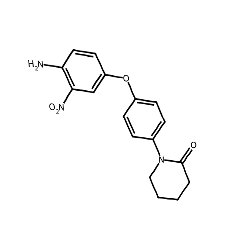 Nc1ccc(Oc2ccc(N3CCCCC3=O)cc2)cc1[N+](=O)[O-]